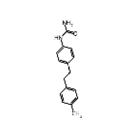 Cc1ccc(CCc2ccc(NC(N)=O)cc2)cc1